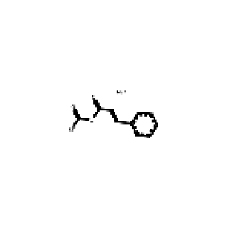 O=C([O-])OC(=O)/C=C/c1ccccc1.[Na+]